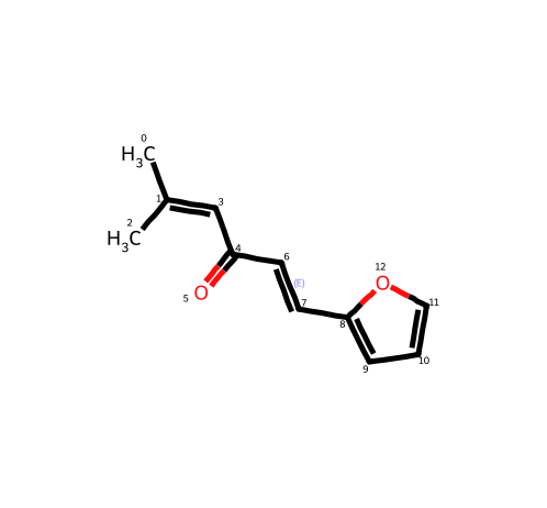 CC(C)=CC(=O)/C=C/c1ccco1